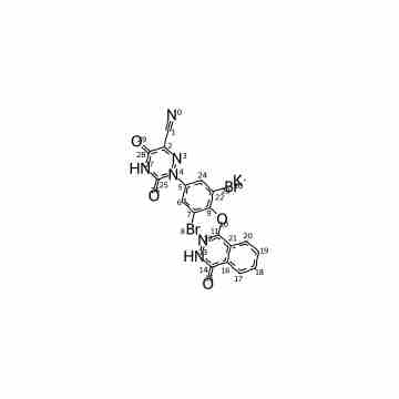 N#Cc1nn(-c2cc(Br)c(Oc3n[nH]c(=O)c4ccccc34)c(Br)c2)c(=O)[nH]c1=O.[K]